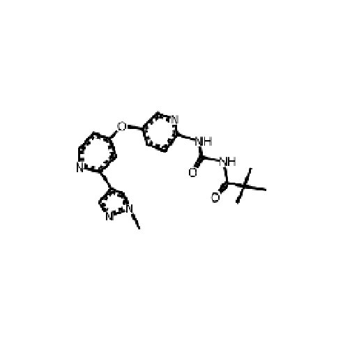 Cn1cc(-c2cc(Oc3ccc(NC(=O)NC(=O)C(C)(C)C)nc3)ccn2)cn1